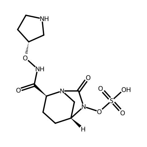 O=C(NO[C@@H]1CCNC1)[C@@H]1CC[C@@H]2CN1C(=O)N2OS(=O)(=O)O